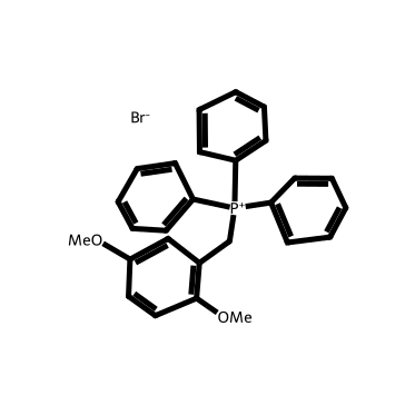 COc1ccc(OC)c(C[P+](c2ccccc2)(c2ccccc2)c2ccccc2)c1.[Br-]